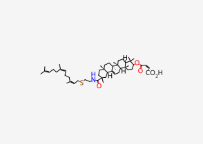 CC(C)=CCCC(C)=CCCC(C)=CCSCCNC(=O)C1(C)CC[C@]2(C)CC[C@]3(C)C(=CC[C@@H]4[C@@]5(C)CC[C@H](OC(=O)/C=C\C(=O)O)C(C)(C)[C@H]5CC[C@]43C)[C@@H]2C1